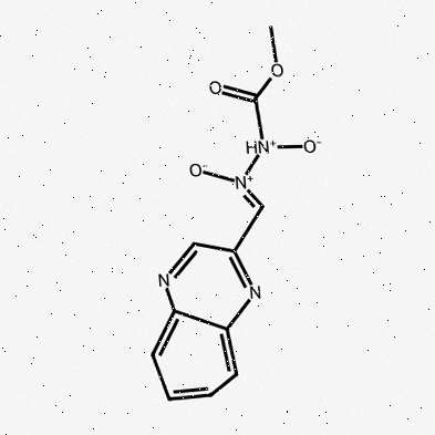 COC(=O)[NH+]([O-])/[N+]([O-])=C/c1cnc2ccccc2n1